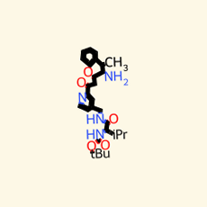 CC(C)C(NC(=O)OC(C)(C)C)C(=O)NCc1ccnc(C(=O)CC(=O)[C@@H](N)C(C)c2ccccc2)c1